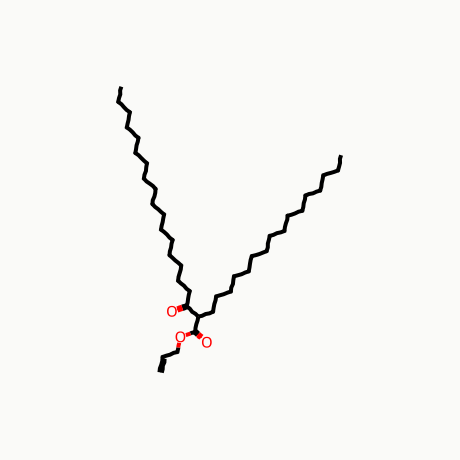 C=CCOC(=O)C(CCCCCCCCCCCCCCCC)C(=O)CCCCCCCCCCCCCCCCC